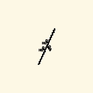 CCCCCCCCCCCCC(CCN(CCC(CCCCCCCCCCCC)C(=O)O)C(=O)CN(C)C)C(=O)O